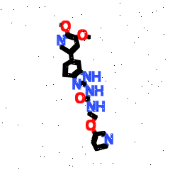 COc1cc(-c2ccc3nc(NC(=O)NCCOc4cccnc4)[nH]c3c2)cnc1OC